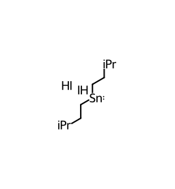 CC(C)C[CH2][Sn][CH2]CC(C)C.I.I